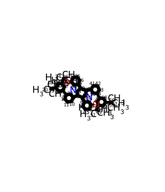 COc1cccc2c3c4c5cccc(-c6cc(C(C)(C)C)cc(C(C)(C)C)c6)c5n5c6c(OC)cccc6c(c6c7cccc(-c8cc(C(C)(C)C)cc(C(C)(C)C)c8)c7n(c12)c36)c45